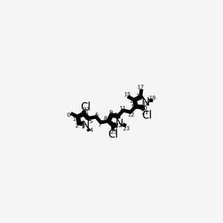 Cc1cn(C)c(CCc2cc(CCc3c(C)c(C)n(C)c3Cl)n(C)c2Cl)c1Cl